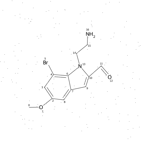 COc1cc(Br)c2c(c1)cc(C=O)n2CCN